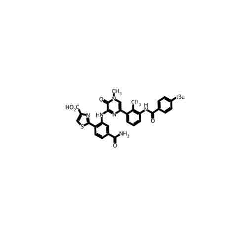 Cc1c(NC(=O)c2ccc(C(C)(C)C)cc2)cccc1-c1cn(C)c(=O)c(Nc2cc(C(N)=O)ccc2-c2nc(C(=O)O)cs2)n1